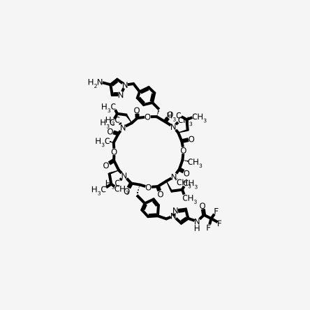 CC(C)C[C@H]1C(=O)O[C@H](Cc2ccc(Cn3cc(NC(=O)C(F)(F)F)cn3)cc2)C(=O)N(C)[C@@H](CC(C)C)C(=O)O[C@H](C)C(=O)N(C)[C@@H](CC(C)C)C(=O)O[C@H](Cc2ccc(Cn3cc(N)cn3)cc2)C(=O)N(C)[C@@H](CC(C)C)C(=O)O[C@H](C)C(=O)N1C